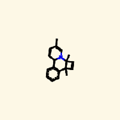 CC1=CN2C(C=C1)c1ccccc1C1(C)C=CC21C